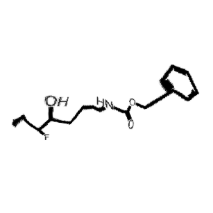 CCC(F)C(O)CCCNC(=O)OCc1ccccc1